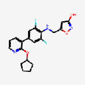 Oc1cc(CNc2c(F)cc(-c3cccnc3OC3CCCC3)cc2F)on1